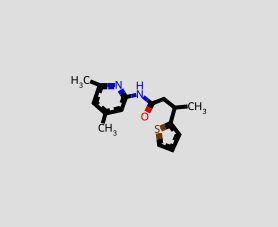 Cc1cc(C)nc(NC(=O)CC(C)c2cccs2)c1